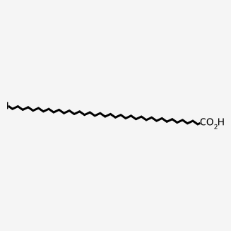 O=C(O)CCCCCCCCCCCCCCCCCCCCCCCCCCCCCCCCCCCCCI